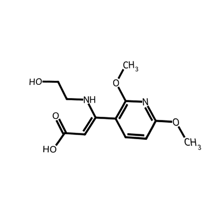 COc1ccc(/C(=C/C(=O)O)NCCO)c(OC)n1